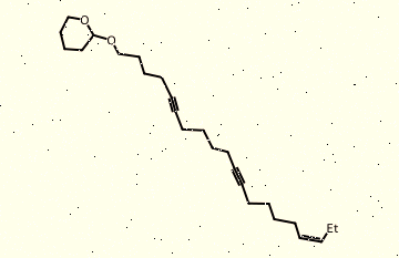 CC/C=C\CCCCC#CCCCCC#CCCCCOC1CCCCO1